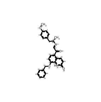 COc1ccc(C[C@@H](C)N=CC(=O)c2ccc(OCc3ccccc3)c3[nH]c(=O)ccc23)cc1